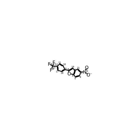 O=[N+]([O-])c1ccc2oc(-c3ccc(C(F)(F)F)cc3)cc2c1